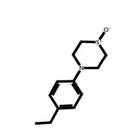 CCc1ccc(N2CC[S+]([O-])CC2)cc1